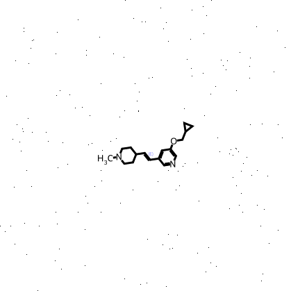 CN1CCC(/C=C/c2cncc(OCC3CC3)c2)CC1